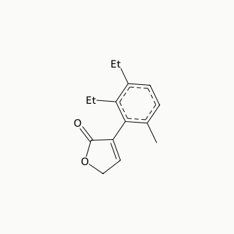 CCc1ccc(C)c(C2=CCOC2=O)c1CC